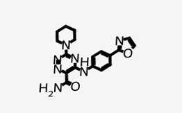 NC(=O)c1nnc(N2CCCCC2)nc1Nc1ccc(-c2ncco2)cc1